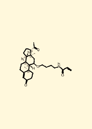 C=CC(=O)NCCCCOC1C[C@]2(C)[C@@H](C(C)=O)CC[C@H]2[C@@H]2CCC3=CC(=O)CC[C@]3(C)[C@@H]12